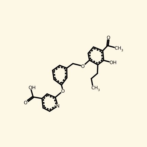 CCCc1c(OCc2cccc(Oc3cc(C(=O)O)ccn3)c2)ccc(C(C)=O)c1O